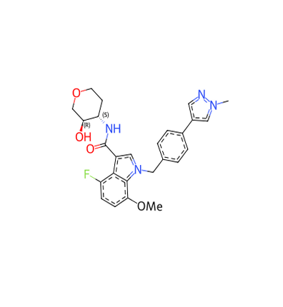 COc1ccc(F)c2c(C(=O)N[C@H]3CCOC[C@@H]3O)cn(Cc3ccc(-c4cnn(C)c4)cc3)c12